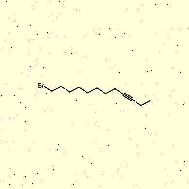 CCC#CCCCCCCCCBr